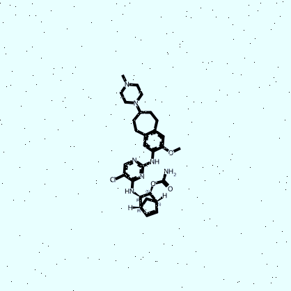 COc1cc2c(cc1Nc1ncc(Cl)c(N[C@H]3[C@@H](OC(N)=O)[C@@H]4C=C[C@H]3C4)n1)CCC(N1CCN(C)CC1)CC2